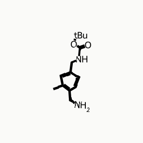 Cc1cc(CNC(=O)OC(C)(C)C)ccc1CN